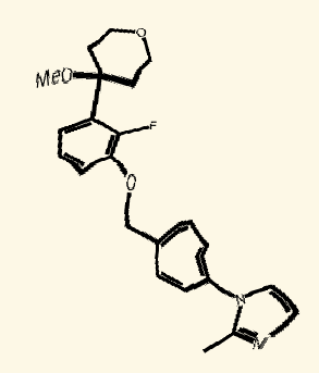 COC1(c2cccc(OCc3ccc(-n4ccnc4C)cc3)c2F)CCOCC1